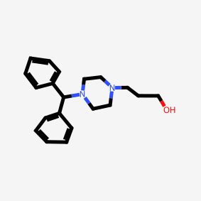 OCCCN1CCN(C(c2ccccc2)c2ccccc2)CC1